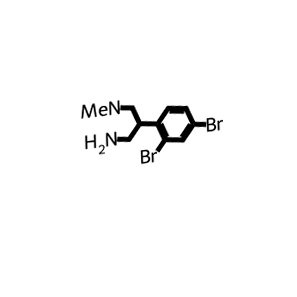 CNCC(CN)c1ccc(Br)cc1Br